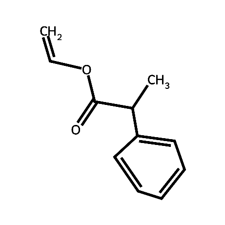 C=COC(=O)C(C)c1ccccc1